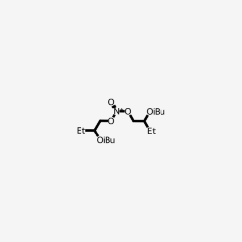 CCC(CO[N+](=O)OCC(CC)OCC(C)C)OCC(C)C